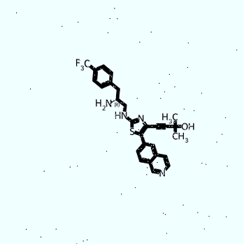 CC(C)(O)C#Cc1nc(NC[C@H](N)Cc2ccc(C(F)(F)F)cc2)sc1-c1ccc2cnccc2c1